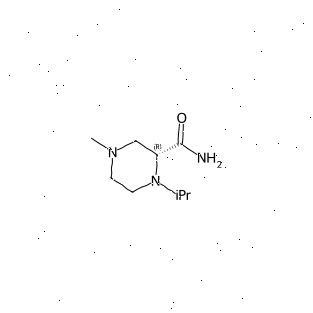 CC(C)N1CCN(C)C[C@@H]1C(N)=O